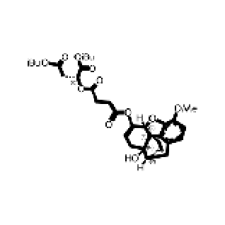 COc1ccc2c3c1O[C@H]1C(OC(=O)CCC(=O)O[C@H](CC(=O)OCC(C)C)C(=O)OCC(C)C)=CC[C@@]4(O)[C@H](CCC[C@]314)C2